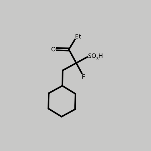 CCC(=O)C(F)(CC1CCCCC1)S(=O)(=O)O